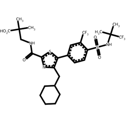 CC(C)(CNC(=O)c1nc(CC2CCCCC2)c(-c2ccc(S(=O)(=O)NC(C)(C)C(F)(F)F)c(C(F)(F)F)c2)s1)C(=O)O